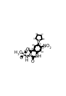 CS(=O)(=O)Nn1c(=O)[nH]c2cc([N+](=O)[O-])c(N3CCCC3)cc2c1=O